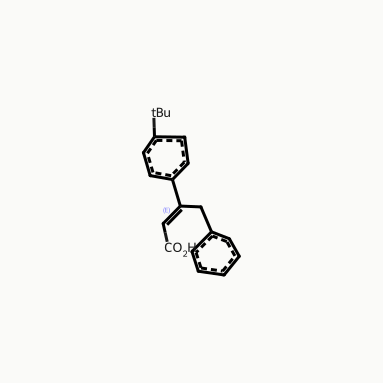 CC(C)(C)c1ccc(/C(=C/C(=O)O)Cc2ccccc2)cc1